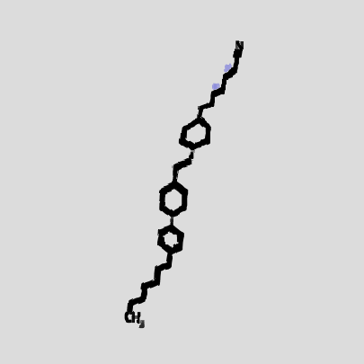 CCCCCCCc1ccc([C@H]2CC[C@H](CC[C@H]3CC[C@H](CC/C=C/C=C/C#N)CC3)CC2)cc1